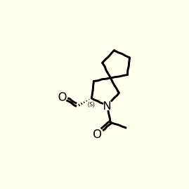 CC(=O)N1CC2(CCCC2)C[C@H]1C=O